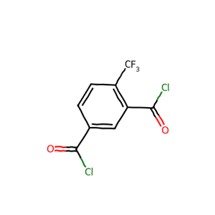 O=C(Cl)c1ccc(C(F)(F)F)c(C(=O)Cl)c1